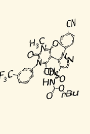 CCCCOC(=O)NS(=O)(=O)c1cnn(-c2ccc(C#N)cc2)c1-c1c(C)n(-c2cccc(C(F)(F)F)c2)c(=O)n(C)c1=O